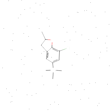 CC1Cc2c[c]([Sn]([CH3])([CH3])[CH3])cc(Cl)c2O1